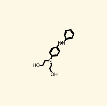 OCCN(CCO)c1ccc(/N=N/c2ccccc2)cc1